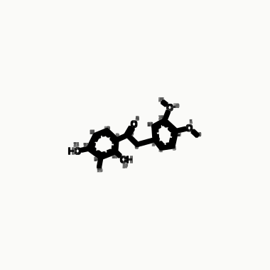 COc1ccc(CC(=O)c2ccc(O)c(C)c2O)cc1OC